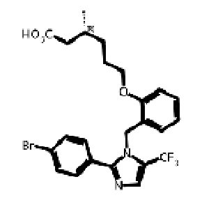 C[C@H](CCCOc1ccccc1Cn1c(C(F)(F)F)cnc1-c1ccc(Br)cc1)CC(=O)O